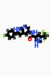 O=C(Nc1cnc2[nH]c(-c3ccc(F)cc3)cc2c1)c1cc(C(F)(F)F)n[nH]1